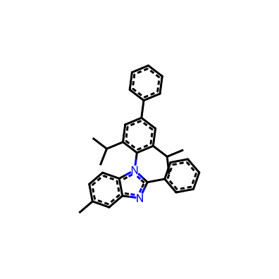 Cc1ccc2c(c1)nc(-c1ccccc1)n2-c1c(C(C)C)cc(-c2ccccc2)cc1C(C)C